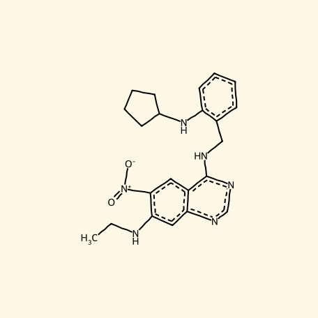 CCNc1cc2ncnc(NCc3ccccc3NC3CCCC3)c2cc1[N+](=O)[O-]